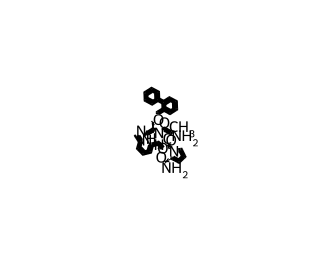 CC(C)(N)C(=O)N[C@H](COCc1ccccc1-c1ccccc1)c1ncc2cccc(COC(=O)N3CCC[C@@H]3C(N)=O)n12